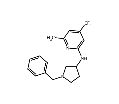 Cc1cc(C(F)(F)F)cc(NC2CCN(Cc3ccccc3)C2)n1